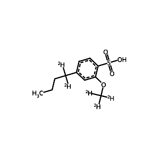 [2H]C([2H])([2H])Oc1cc(C([2H])([2H])CCC)ccc1S(=O)(=O)O